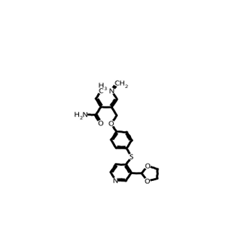 C=N/C=C(COc1ccc(Sc2ccncc2C2OCCO2)cc1)\C(=C/C)C(N)=O